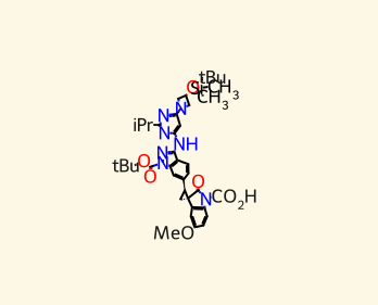 COc1ccc2c(c1)[C@]1(C[C@H]1c1ccc3c(Nc4cc(N5CC(O[Si](C)(C)C(C)(C)C)C5)nc(C(C)C)n4)nn(C(=O)OC(C)(C)C)c3c1)C(=O)N2C(=O)O